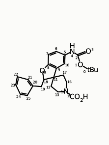 CC(C)(C)OC(=O)Nc1ccc2c(c1)C1(CCN(C(=O)O)CC1)C(Cc1ccccc1)O2